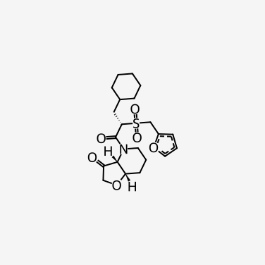 O=C1CO[C@H]2CCCN(C(=O)[C@H](CC3CCCCC3)S(=O)(=O)Cc3ccco3)[C@@H]12